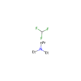 CCCN(CC)CC.FC(F)F